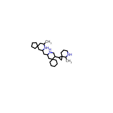 CC1CC2(CCCC2)CC(CC2CC3(CCCCC3)C(C3CC34CCCNC4C)CN2)N1